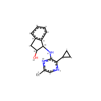 CCc1cnc(C2CC2)c(NC2c3ccccc3CC2O)n1